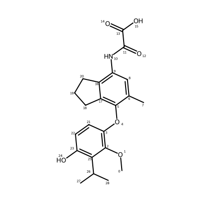 COc1c(Oc2c(C)cc(NC(=O)C(=O)O)c3c2CCC3)ccc(O)c1C(C)C